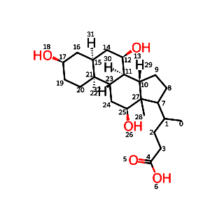 CC(CCC(=O)O)C1CC[C@H]2[C@@H]3[C@H](O)C[C@@H]4C[C@H](O)CC[C@]4(C)[C@H]3C[C@H](O)C12C